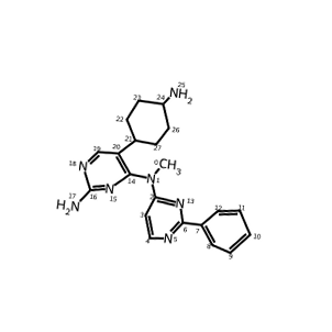 CN(c1ccnc(-c2ccccc2)n1)c1nc(N)ncc1C1CCC(N)CC1